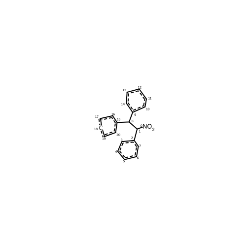 O=[N+]([O-])[C](c1ccccc1)C(c1ccccc1)c1ccccc1